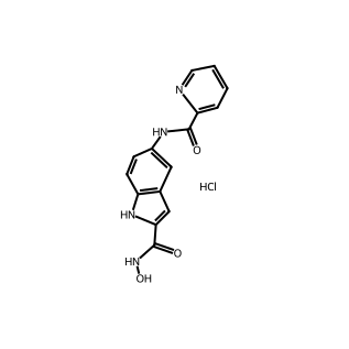 Cl.O=C(Nc1ccc2[nH]c(C(=O)NO)cc2c1)c1ccccn1